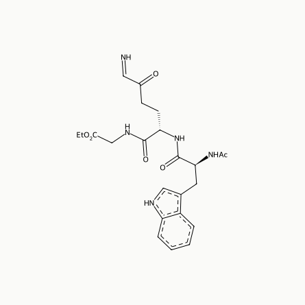 CCOC(=O)CNC(=O)[C@H](CCC(=O)C=N)NC(=O)[C@H](Cc1c[nH]c2ccccc12)NC(C)=O